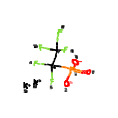 O=P([O-])([O-])C(F)(F)C(F)(F)F.[K+].[K+]